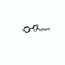 CCCCCc1ncc(-c2ccncc2)o1